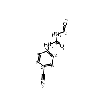 N#Cc1ccc(NC(=O)NC=O)cc1